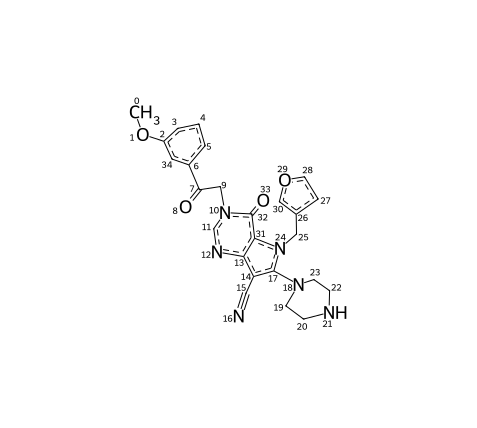 COc1cccc(C(=O)Cn2cnc3c(C#N)c(N4CCNCC4)n(Cc4ccoc4)c3c2=O)c1